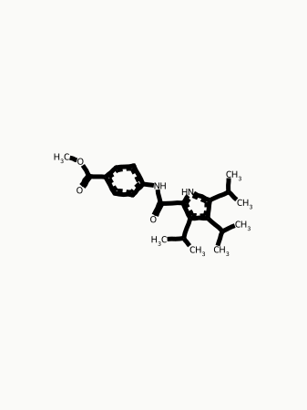 COC(=O)c1ccc(NC(=O)c2[nH]c(C(C)C)c(C(C)C)c2C(C)C)cc1